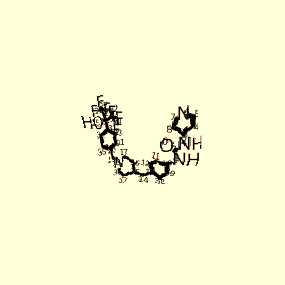 O=C(Nc1ccncc1)Nc1ccc(CC2CCN(Cc3ccc(C(O)(C(F)(F)F)C(F)(F)F)cc3)CC2)cc1